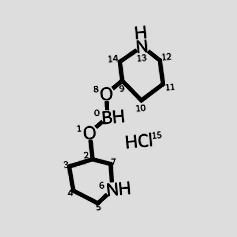 B(OC1CCCNC1)OC1CCCNC1.Cl